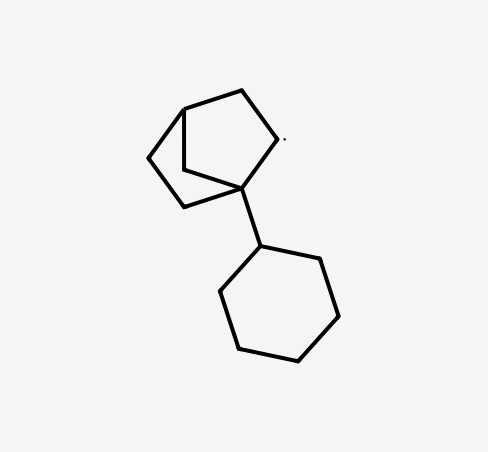 [CH]1CC2CCC1(C1CCCCC1)C2